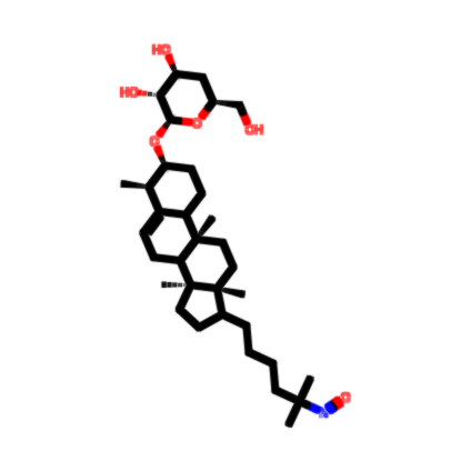 C[C@@H]1C2=CCC3[C@@](C)(CC[C@]4(C)C(CCCCC(C)(C)N=O)CC[C@@]34C)C2CC[C@@H]1O[C@@H]1O[C@H](CO)C[C@H](O)[C@H]1O